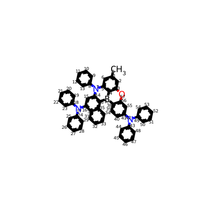 Cc1cc2c3c(c1)N(c1ccccc1)c1cc(N(c4ccccc4)c4ccccc4)c4ccccc4c1B3c1ccc(N(c3ccccc3)c3ccccc3)cc1O2